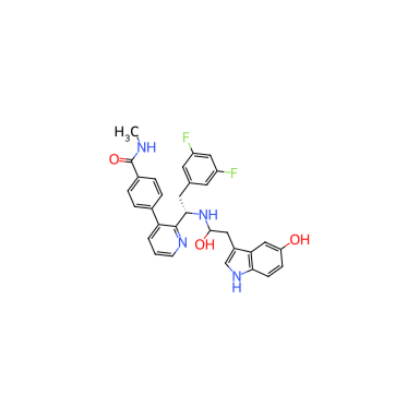 CNC(=O)c1ccc(-c2cccnc2[C@H](Cc2cc(F)cc(F)c2)NC(O)Cc2c[nH]c3ccc(O)cc23)cc1